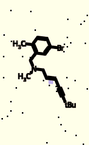 Cc1ccc(Br)cc1CN(C)C/C=C/C#CC(C)(C)C